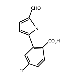 O=Cc1ccc(-c2cc(Cl)ccc2C(=O)O)s1